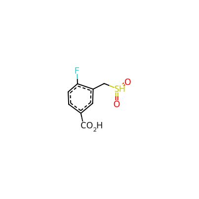 O=C(O)c1ccc(F)c(C[SH](=O)=O)c1